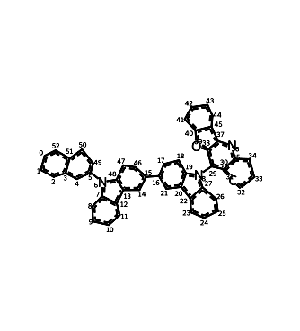 c1ccc2cc(-n3c4ccccc4c4cc(-c5ccc6c(c5)c5ccccc5n6-c5c6ccccc6nc6c5oc5ccccc56)ccc43)ccc2c1